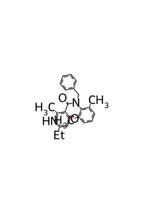 CCc1cc(=O)c(C(=O)N(Cc2ccccc2)c2c(C)cccc2C)c(C)[nH]1